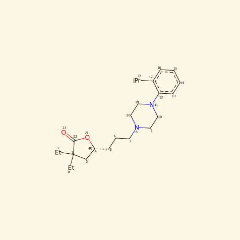 CCC1(CC)C[C@@H](CCCN2CCN(c3ccccc3C(C)C)CC2)OC1=O